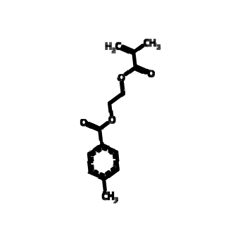 C=C(C)C(=O)OCCOC(=O)c1ccc(C)cc1